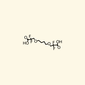 O=C(O)C(F)(F)COCCCCOCC(F)(F)C(=O)O